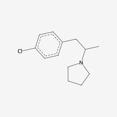 CC(Cc1ccc(Cl)cc1)N1CCCC1